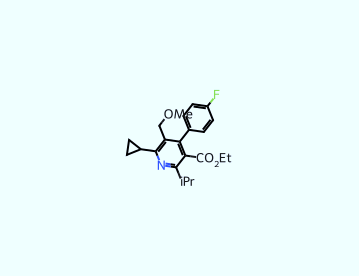 CCOC(=O)c1c(C(C)C)nc(C2CC2)c(COC)c1-c1ccc(F)cc1